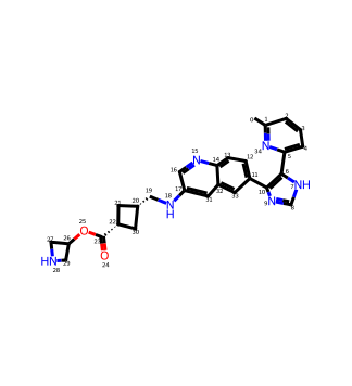 Cc1cccc(-c2[nH]cnc2-c2ccc3ncc(NC[C@H]4C[C@@H](C(=O)OC5CNC5)C4)cc3c2)n1